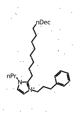 CCCCCCCCCCCCCCCCCCc1n(CCC)cc[n+]1CCCc1ccccc1